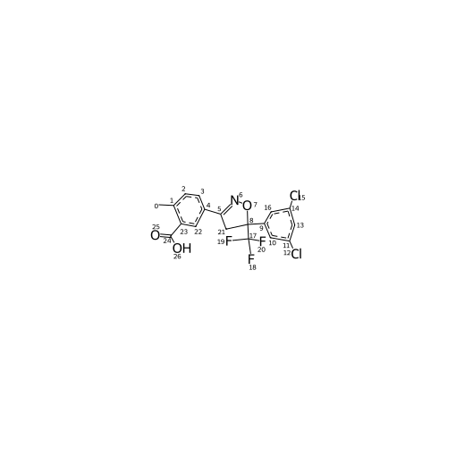 Cc1ccc(C2=NOC(c3cc(Cl)cc(Cl)c3)(C(F)(F)F)C2)cc1C(=O)O